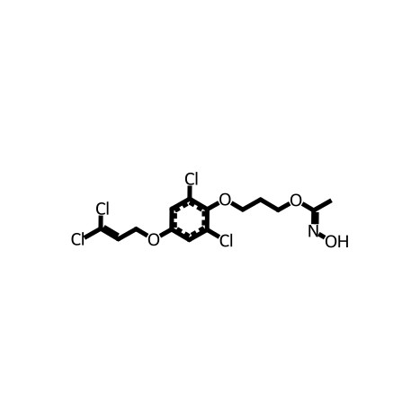 CC(=NO)OCCCOc1c(Cl)cc(OCC=C(Cl)Cl)cc1Cl